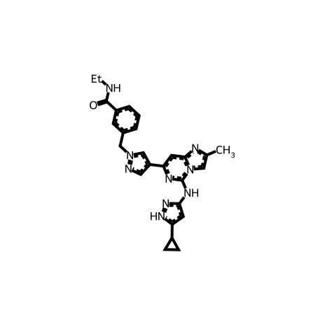 CCNC(=O)c1cccc(Cn2cc(-c3cc4nc(C)cn4c(Nc4cc(C5CC5)[nH]n4)n3)cn2)c1